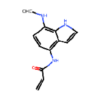 C=CC(=O)Nc1ccc(NC=O)c2[nH]ccc12